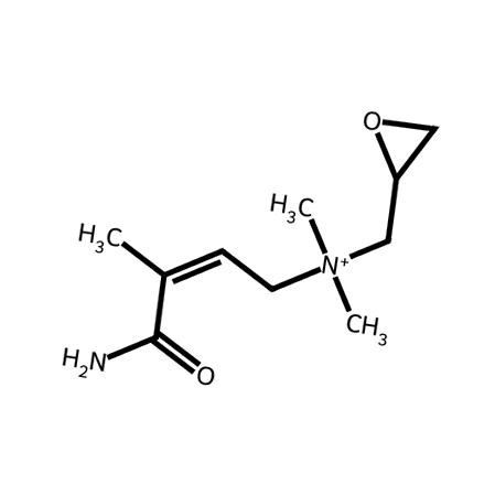 CC(=CC[N+](C)(C)CC1CO1)C(N)=O